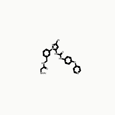 CC(=O)NCC(=O)NCc1cccc(-n2nc(C(C)C)cc2NC(=O)Nc2ccc(Oc3ccncc3)cc2)c1